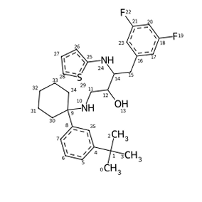 CC(C)(C)c1cccc(C2(NCC(O)C(Cc3cc(F)cc(F)c3)Nc3cccs3)CCCCC2)c1